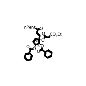 CCCCCC(=O)C=C[C@]1(OC(=O)CC(=O)OCC)C=C[C@H](OC(=O)c2ccccc2)[C@@H]1OC(=O)c1ccccc1